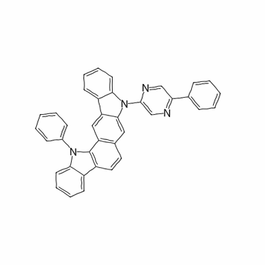 c1ccc(-c2cnc(-n3c4ccccc4c4cc5c(ccc6c7ccccc7n(-c7ccccc7)c56)cc43)cn2)cc1